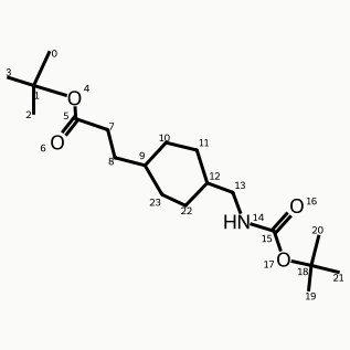 CC(C)(C)OC(=O)CCC1CCC(CNC(=O)OC(C)(C)C)CC1